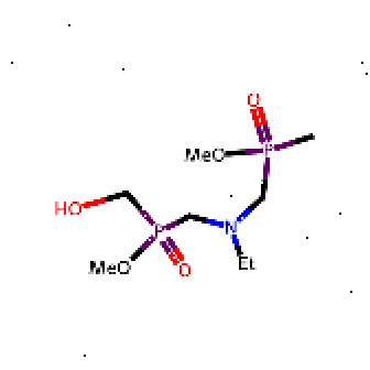 CCN(CP(C)(=O)OC)CP(=O)(CO)OC